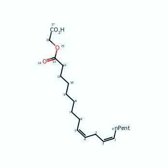 CCCCC/C=C\C/C=C\CCCCCCCC(=O)OCC(=O)O